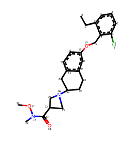 CCc1cccc(Cl)c1COc1ccc2c(c1)CCC(N1CC(C(=O)N(C)OC)C1)C2